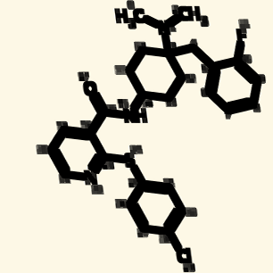 CN(C)C1(Cc2ccccc2F)CCC(NC(=O)c2cccnc2Sc2ccc(Cl)cc2)CC1